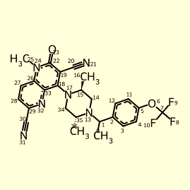 CC(c1ccc(OC(F)(F)F)cc1)N1C[C@H](C)N(c2c(C#N)c(=O)n(C)c3ccc(C#N)nc23)C[C@H]1C